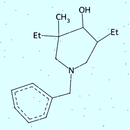 CCC1CN(Cc2ccccc2)CC(C)(CC)C1O